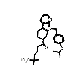 CC(C)(CCCC(=O)N1CCc2c(n(Cc3ccc(OC(F)F)cc3)c3ncccc23)C1)C(=O)O